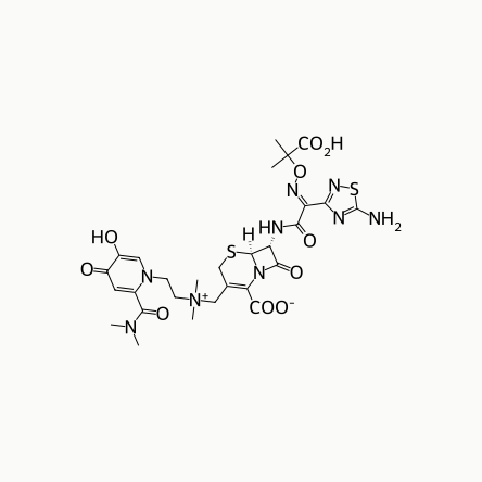 CN(C)C(=O)c1cc(=O)c(O)cn1CC[N+](C)(C)CC1=C(C(=O)[O-])N2C(=O)[C@@H](NC(=O)C(=NOC(C)(C)C(=O)O)c3nsc(N)n3)[C@@H]2SC1